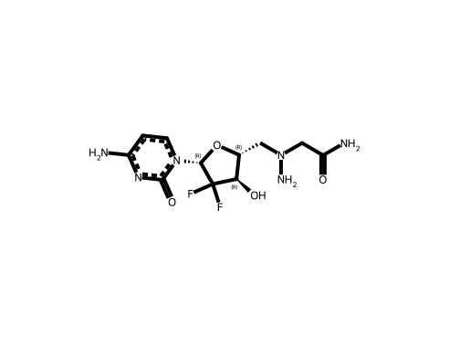 NC(=O)CN(N)C[C@H]1O[C@@H](n2ccc(N)nc2=O)C(F)(F)[C@@H]1O